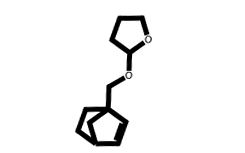 C1=CC2(COC3CCCO3)CCC1C2